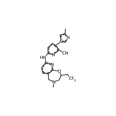 Cc1cn(-c2ccc(Nc3ccc4c(n3)OC(CC(F)(F)F)CN(C)C4)nc2C#N)cn1